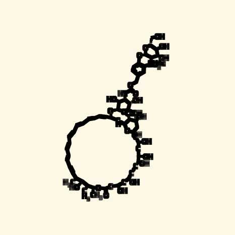 CC(=O)N[C@H]1[C@H](Oc2ccc(COC(=O)N[C@@H]3[C@H](O)[C@H](O[C@H]4/C=C/C=C/C=C/C=C/C=C/C=C/C=C/[C@H](C)[C@@H](O)[C@@H](C)[C@H](C)OC(=O)C[C@H](O)C[C@H](O)CC[C@@H](O)[C@H](O)C[C@H](O)C[C@]5(O)C[C@H](O)[C@@H](C(=O)O)[C@H](C4)O5)O[C@H](C)[C@H]3O)cc2[N+](=O)[O-])O[C@H](CO)[C@@H](O)[C@@H]1O